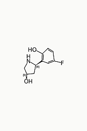 Oc1ccc(F)cc1[C@H]1C[C@@H](O)CN1